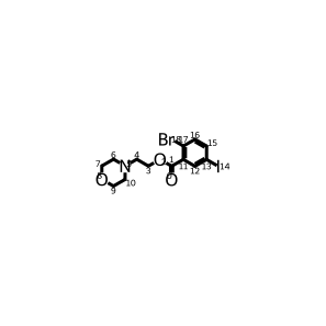 O=C(OCCN1CCOCC1)c1cc(I)ccc1Br